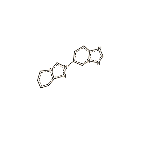 c1ccn2c[n+](-c3ccc4ncnn4c3)nc2c1